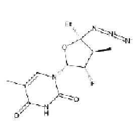 CC[C@@]1(N=[N+]=[N-])O[C@@H](n2cc(C)c(=O)[nH]c2=O)[C@@H](F)[C@@H]1C